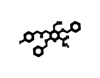 NC(=O)c1nc(OCc2ccccc2)c(CNCc2ccc(F)cc2)c(CO)c1OCc1ccccc1